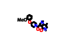 COc1ccccc1OC1CCN(C(=O)c2cn(C)c3c(C)cn(C)c(=O)c23)CC1